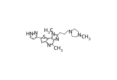 Cc1nc2cc(-c3cc[nH]n3)sc2c2c1nc(CCCN1CCN(C)CC1)n2C